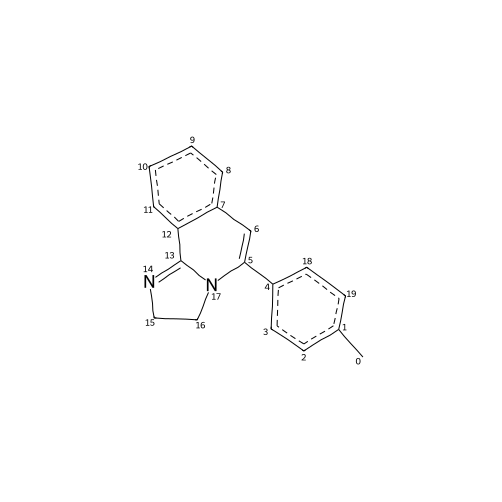 Cc1ccc(C2=Cc3ccccc3C3=NCCN23)cc1